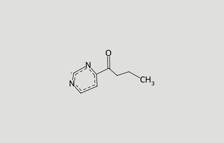 CCCC(=O)c1ccn[c]n1